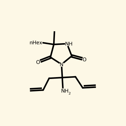 C=CCC(N)(CC=C)N1C(=O)NC(C)(CCCCCC)C1=O